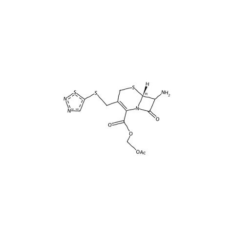 CC(=O)OCOC(=O)C1=C(CSc2cnns2)CS[C@@H]2C(N)C(=O)N12